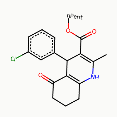 CCCCCOC(=O)C1=C(C)NC2=C(C(=O)CCC2)C1c1cccc(Cl)c1